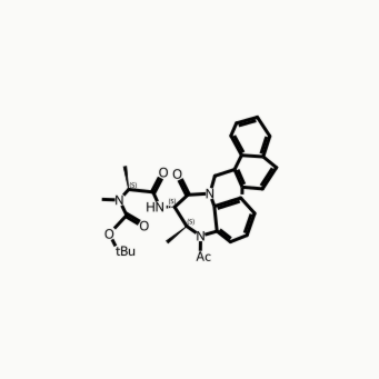 CC(=O)N1c2ccccc2N(Cc2c(C)ccc3ccccc23)C(=O)[C@@H](NC(=O)[C@H](C)N(C)C(=O)OC(C)(C)C)[C@@H]1C